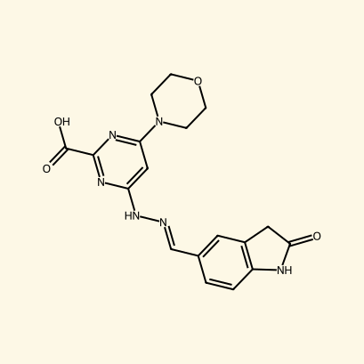 O=C1Cc2cc(C=NNc3cc(N4CCOCC4)nc(C(=O)O)n3)ccc2N1